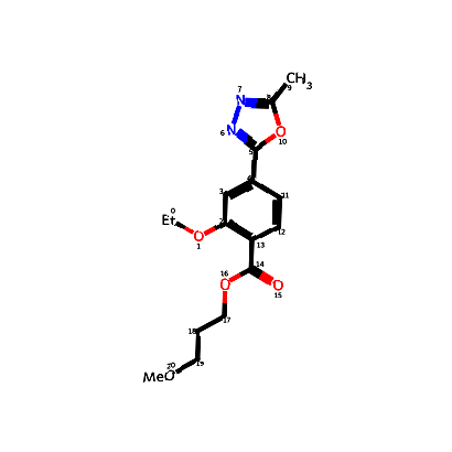 CCOc1cc(-c2nnc(C)o2)ccc1C(=O)OCCCOC